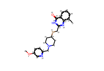 COc1ccc(CN2CCC(SCc3nc4c(C)cccc4c(=O)[nH]3)CC2)nc1